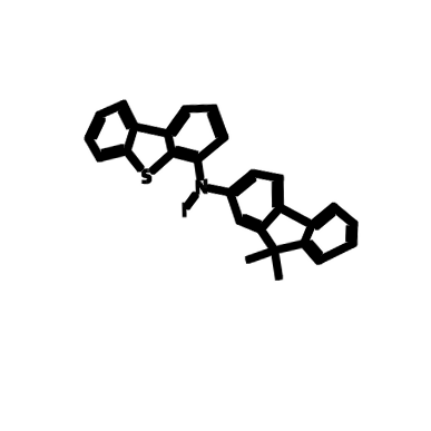 CC1(C)c2ccccc2-c2ccc(N(I)c3cccc4c3sc3ccccc34)cc21